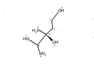 OCC[C@@](O)([SiH3])C(O)[SiH3]